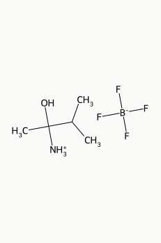 CC(C)C(C)([NH3+])O.F[B-](F)(F)F